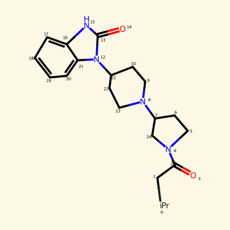 CC(C)CC(=O)N1CCC(N2CCC(n3c(=O)[nH]c4ccccc43)CC2)C1